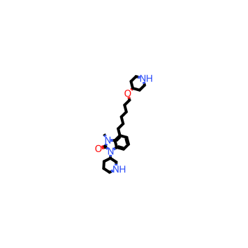 Cn1c(=O)n(C2CCCNC2)c2cccc(CCCCCCOC3CCNCC3)c21